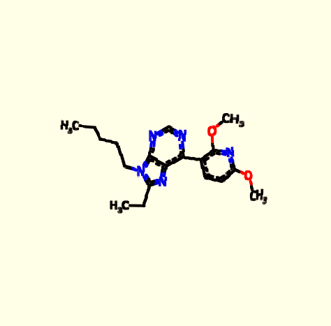 CCCCCn1c(CC)nc2c(-c3ccc(OC)nc3OC)ncnc21